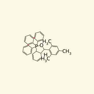 Cc1cc(C)c(C2OP(c3ccccc3)(c3ccccc3)(c3ccccc3)C3C=CC=C[C@H]23)c(C)c1